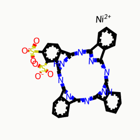 O=S(=O)([O-])c1ccc2c3nc4nc(nc5[nH]c(nc6nc(nc([nH]3)c2c1S(=O)(=O)[O-])-c1ccccc1-6)c1ccccc51)-c1ccccc1-4.[Ni+2]